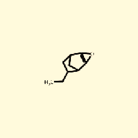 [CH2]CC1CC2CC1C1=C2O1